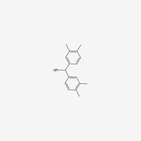 CCCC(c1ccc(C)c(C)c1)c1ccc(C)c(C)c1